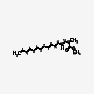 CCCCCCCCCCCCNCC(C)C(=O)OC